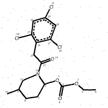 CCOC(=O)OC1CCC(C)CN1C(=O)Cc1c(Cl)cc(Cl)cc1Cl